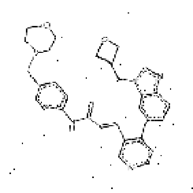 O=C(C=Cc1cnccc1-c1ccc2ncn(CC3COC3)c2c1)Nc1ccc(CN2CCOCC2)cc1